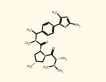 Cc1nc(C)c(-c2ccc(C(C)N(C)C(=O)[C@@H]3C[C@@H](C)CN3C(=O)[C@H](C)N(C)C)cc2)s1